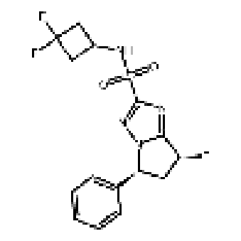 O=S(=O)(NC1CC(F)(F)C1)c1nc2n(n1)[C@H](c1ccccc1)C[C@@H]2F